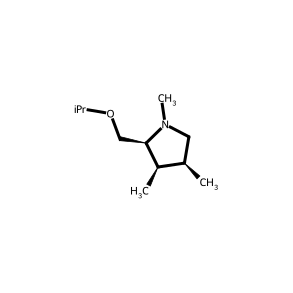 CC(C)OC[C@@H]1[C@H](C)[C@H](C)CN1C